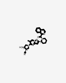 Cc1cn2nc([C@@H]3CCCCN3C(=O)c3nccc4ccccc34)cc2nc1N1C[C@@H](C#N)[C@@H](O)C1